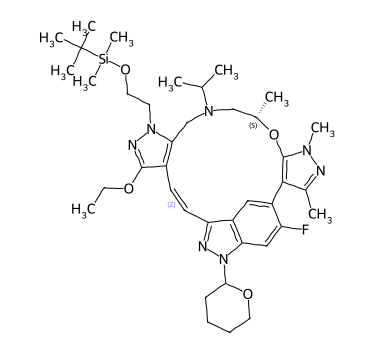 CCOc1nn(CCO[Si](C)(C)C(C)(C)C)c2c1/C=C\c1nn(C3CCCCO3)c3cc(F)c(cc13)-c1c(C)nn(C)c1O[C@@H](C)CN(C(C)C)C2